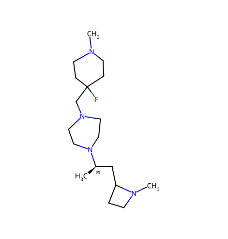 C[C@H](CC1CCN1C)N1CCN(CC2(F)CCN(C)CC2)CC1